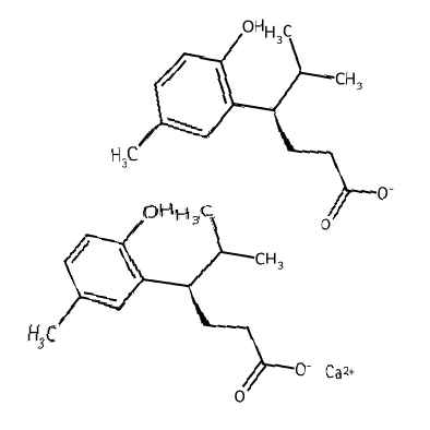 Cc1ccc(O)c([C@H](CCC(=O)[O-])C(C)C)c1.Cc1ccc(O)c([C@H](CCC(=O)[O-])C(C)C)c1.[Ca+2]